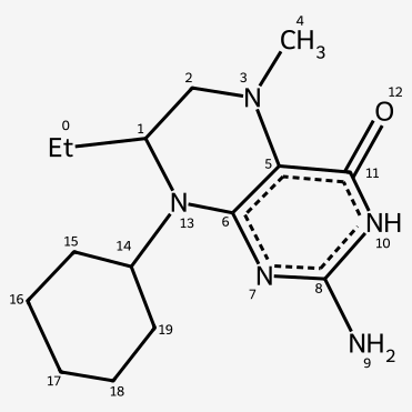 CCC1CN(C)c2c(nc(N)[nH]c2=O)N1C1CCCCC1